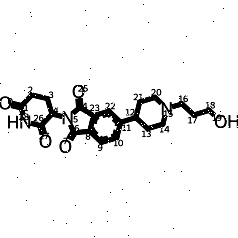 O=C1CCC(N2C(=O)c3ccc(C4CCN(CCCO)CC4)cc3C2=O)C(=O)N1